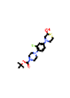 CC(C)(C)OC(=O)N1CCN(c2ccc(N3CCSC(O)C3)cc2F)CC1